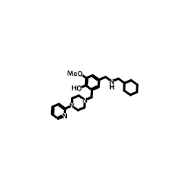 COc1cc(CNCC2CCCCC2)cc(CN2CCN(c3ccccn3)CC2)c1O